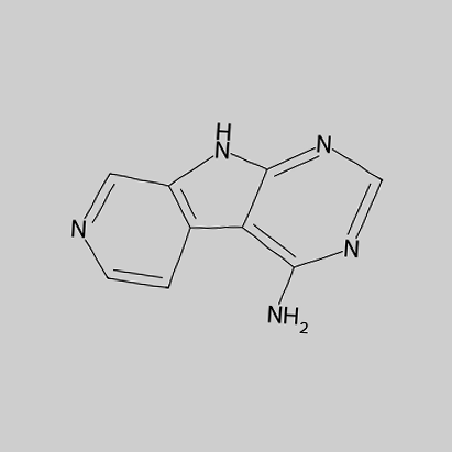 Nc1ncnc2[nH]c3cnccc3c12